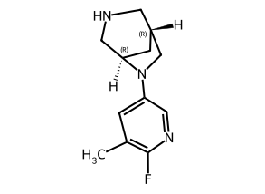 Cc1cc(N2C[C@H]3CNC[C@H]2C3)cnc1F